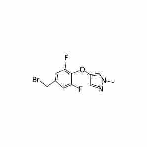 Cn1cc(Oc2c(F)cc(CBr)cc2F)cn1